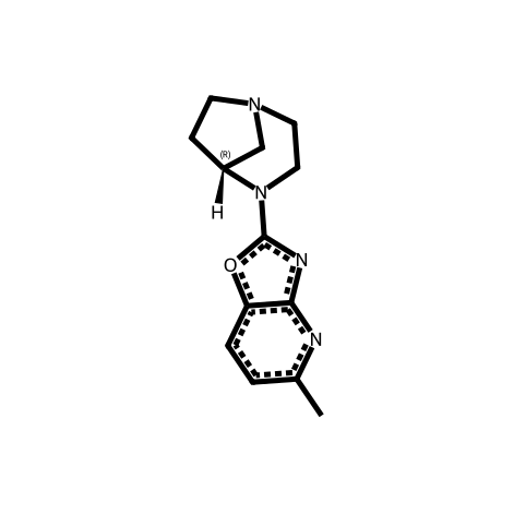 Cc1ccc2oc(N3CCN4CC[C@@H]3C4)nc2n1